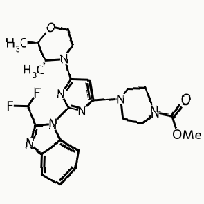 COC(=O)N1CCN(c2cc(N3CCO[C@H](C)[C@H]3C)nc(-n3c(C(F)F)nc4ccccc43)n2)CC1